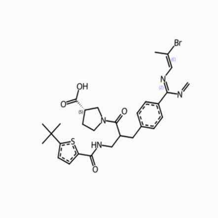 C=N/C(=N\C=C(/C)Br)c1ccc(CC(CNC(=O)c2ccc(C(C)(C)C)s2)C(=O)N2CC[C@H](C(=O)O)C2)cc1